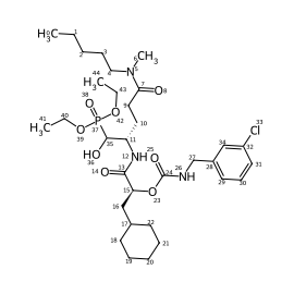 CCCCCN(C)C(=O)CC[C@H](NC(=O)[C@H](CC1CCCCC1)OC(=O)NCc1cccc(Cl)c1)C(O)P(=O)(OCC)OCC